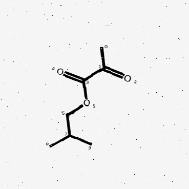 CC(=O)C(=O)OCC(C)C